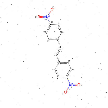 O=[N+]([O-])c1ccc(C=Cc2ccc([N+](=O)[O-])cc2)cc1